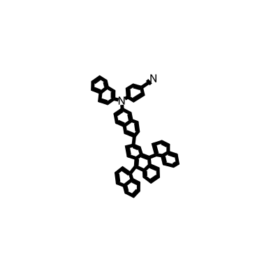 N#Cc1ccc(N(c2ccc3ccccc3c2)c2ccc3cc(-c4ccc5c(-c6cccc7ccccc67)c6ccccc6c(-c6cccc7ccccc67)c5c4)ccc3c2)cc1